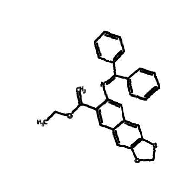 C=C(OCC)c1cc2cc3c(cc2cc1N=C(c1ccccc1)c1ccccc1)OCO3